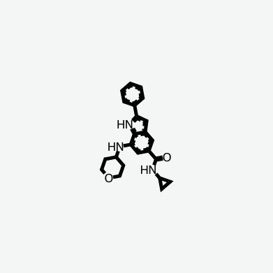 O=C(NC1CC1)c1cc(NC2CCOCC2)c2[nH]c(-c3ccccc3)cc2c1